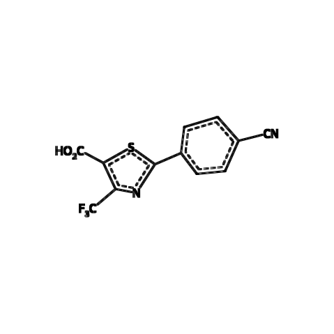 N#Cc1ccc(-c2nc(C(F)(F)F)c(C(=O)O)s2)cc1